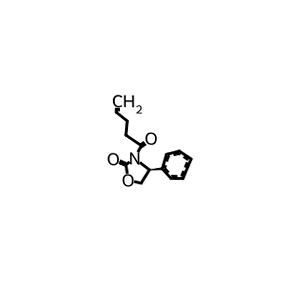 C=CCCC(=O)N1C(=O)OC[C@@H]1c1ccccc1